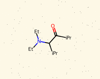 CCN(CC)C(C(=O)C(C)C)C(C)C